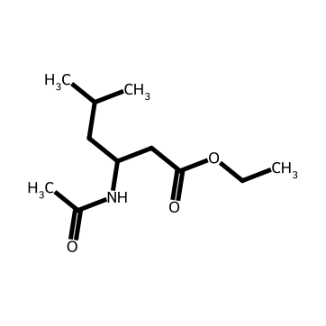 CCOC(=O)CC(CC(C)C)NC(C)=O